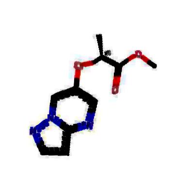 COC(=O)[C@H](C)Oc1cnc2ccnn2c1